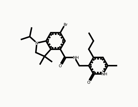 CCCc1cc(C)[nH]c(=O)c1CNC(=O)c1cc(Br)cc2c1C(C)(C)CN2C(C)C